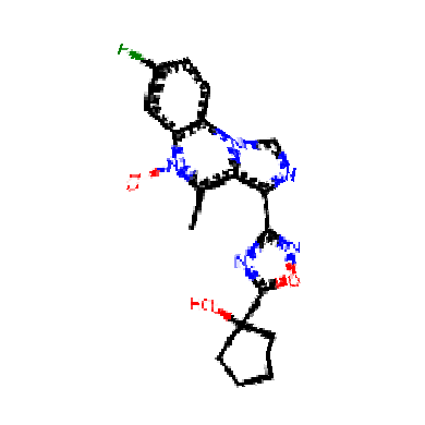 Cc1c2c(-c3noc(C4(O)CCCC4)n3)ncn2c2ccc(F)cc2[n+]1[O-]